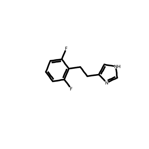 Fc1cccc(F)c1CCc1c[nH]cn1